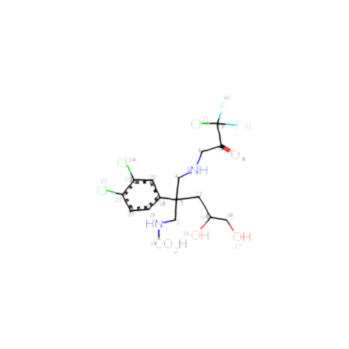 O=C(O)NCC(CNCC(=O)C(F)(F)Cl)(CC(O)CO)c1ccc(Cl)c(Cl)c1